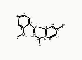 COc1ccccc1C=NC(C)c1ccc(I)cc1I